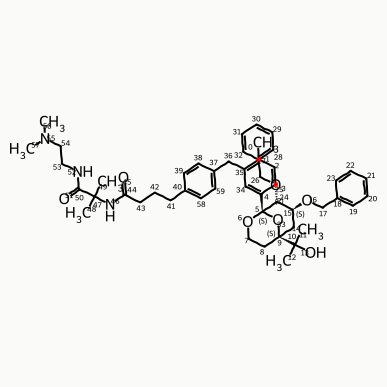 Cc1ccc([C@@]23OCC[C@@](C(C)(C)O)(C[C@H](OCc4ccccc4)[C@H]2OCc2ccccc2)O3)cc1Cc1ccc(CCCC(=O)NC(C)(C)C(=O)NCCN(C)C)cc1